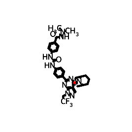 CN(C)NC(=O)c1ccc(NC(=O)Nc2ccc(-c3nc(N4C5CCCC4COC5)c4cnn(CC(F)(F)F)c4n3)cc2)cc1